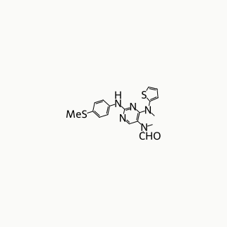 CSc1ccc(Nc2ncc(N(C)C=O)c(N(C)c3cccs3)n2)cc1